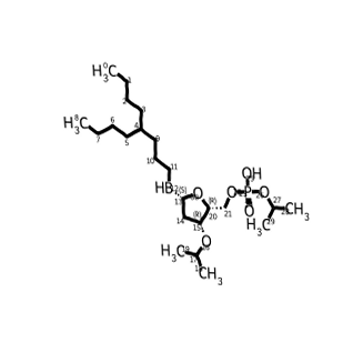 CCCCC(CCCC)CCCB[C@H]1C[C@@H](OC(C)C)[C@@H](COP(=O)(O)OC(C)C)O1